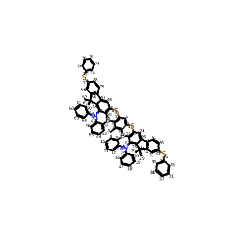 Cc1c2c(cc3c1B1c4ccccc4N(c4ccccc4)c4c1c(cc1c4C(C)(C)c4cc(Sc5ccccc5)ccc4-1)S3)Sc1cc3c(c4c1B2c1ccccc1N4c1ccccc1)C(C)(C)c1cc(Sc2ccccc2)ccc1-3